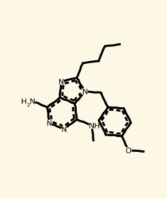 CCCCc1nc2c(N)nnc(NC)c2n1Cc1ccc(OC)cc1